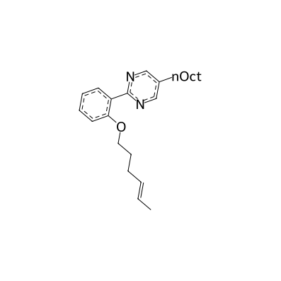 CC=CCCCOc1ccccc1-c1ncc(CCCCCCCC)cn1